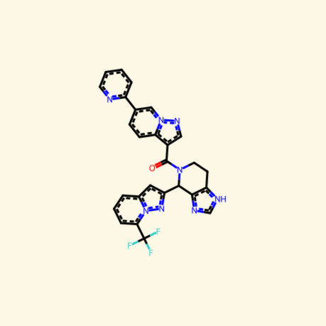 O=C(c1cnn2cc(-c3ccccn3)ccc12)N1CCc2[nH]cnc2C1c1cc2cccc(C(F)(F)F)n2n1